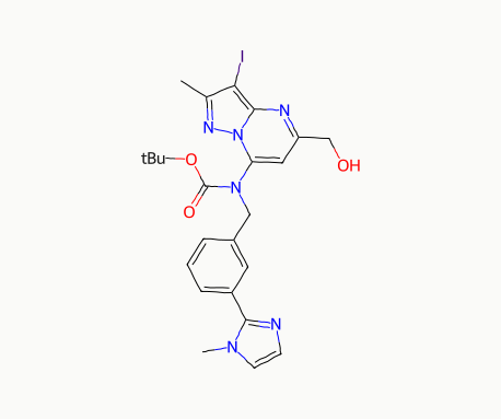 Cc1nn2c(N(Cc3cccc(-c4nccn4C)c3)C(=O)OC(C)(C)C)cc(CO)nc2c1I